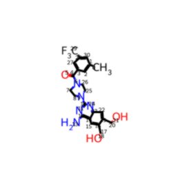 Cc1cc(C(=O)N2CCN(c3nc(N)c4cc(CO)c(CO)cc4n3)CC2)cc(C(F)(F)F)c1